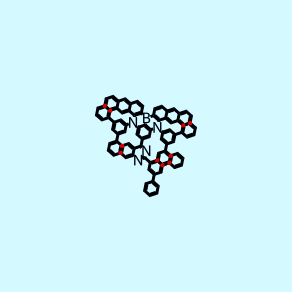 c1ccc(-c2cc(-c3ccccc3)cc(-c3nc(-c4cc5c6c(c4)N(c4cc(-c7ccccc7)cc(-c7ccccc7)c4)c4c(ccc7cc8ccccc8cc47)B6c4ccc6cc7ccccc7cc6c4N5c4cc(-c5ccccc5)cc(-c5ccccc5)c4)c4ccccc4n3)c2)cc1